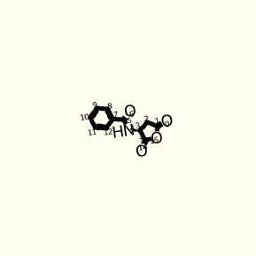 O=C1C[C@H](NC(=O)c2ccccc2)C(=O)O1